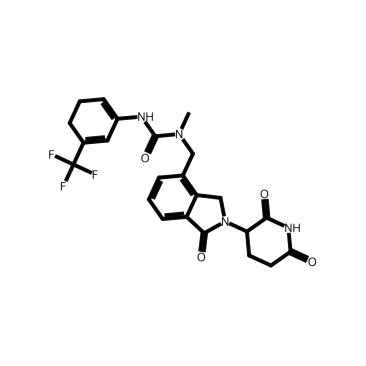 CN(Cc1cccc2c1CN(C1CCC(=O)NC1=O)C2=O)C(=O)NC1=CCCC(C(F)(F)F)=C1